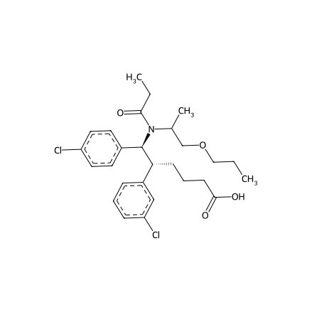 CCCOCC(C)N(C(=O)CC)[C@H](c1ccc(Cl)cc1)[C@H](CCCC(=O)O)c1cccc(Cl)c1